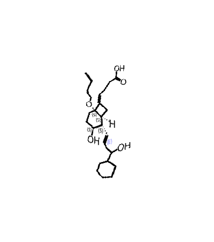 CCCCO[C@@]12CC[C@H](O)[C@@H](/C=C/C(O)C3CCCCC3)[C@@H]1CC2=CCCC(=O)O